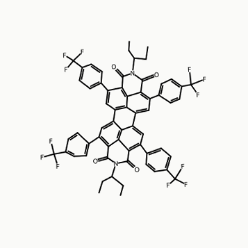 CCC(CC)N1C(=O)c2c(-c3ccc(C(F)(F)F)cc3)cc3c4cc(-c5ccc(C(F)(F)F)cc5)c5c6c(c(-c7ccc(C(F)(F)F)cc7)cc(c7cc(-c8ccc(C(F)(F)F)cc8)c(c2c37)C1=O)c64)C(=O)N(C(CC)CC)C5=O